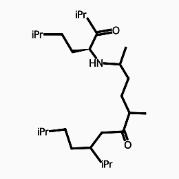 CC(C)CCC(CC(=O)C(C)CCC(C)N[C@@H](CCC(C)C)C(=O)C(C)C)C(C)C